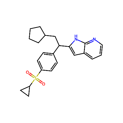 O=S(=O)(c1ccc(C(CC2CCCC2)c2cc3cccnc3[nH]2)cc1)C1CC1